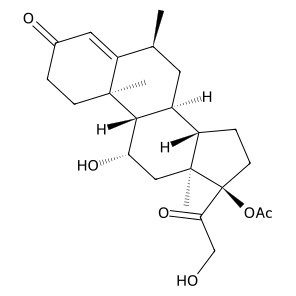 CC(=O)O[C@]1(C(=O)CO)CC[C@H]2[C@@H]3C[C@H](C)C4=CC(=O)CC[C@]4(C)[C@H]3[C@@H](O)C[C@@]21C